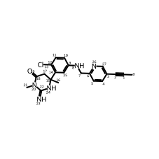 CC#Cc1ccc(CNc2ccc(Cl)c(C3(C)CC(=O)N(C)C(=N)N3)c2)nc1